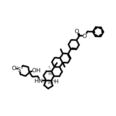 CC1C(C2=CCC(C(=O)OCc3ccccc3)CC2)=CCC2(C)C1CCC1(C)C2CCC2[C@H]3CCCC3(NCCC3(O)CC[S+]([O-])CC3)CC[C@]21C